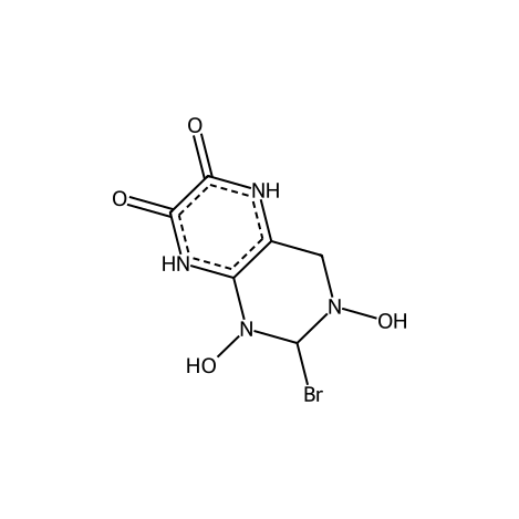 O=c1[nH]c2c([nH]c1=O)N(O)C(Br)N(O)C2